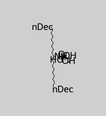 CCCCCCCCCCCCCCCCCCC=C(N)CCCCCCCCCCCCCCCCCC.O=P(O)(O)O